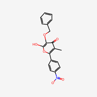 Cc1c(-c2ccc([N+](=O)[O-])cc2)oc(O)c(OCc2ccccc2)c1=O